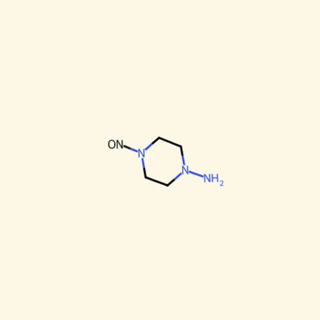 NN1CCN(N=O)CC1